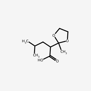 CC(C)CC(C(=O)O)C1(C)OCCO1